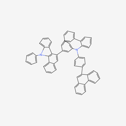 c1ccc(-c2ccccc2N(c2ccc(-c3cc4ccccc4c4ccccc34)cc2)c2cccc(-c3cc4ccccc4c4c3c3ccccc3n4-c3ccccc3)c2)cc1